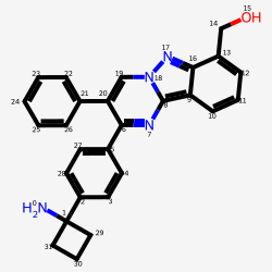 NC1(c2ccc(-c3nc4c5cccc(CO)c5nn4cc3-c3ccccc3)cc2)CCC1